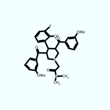 COc1cccc(C(=O)C2CN(CC(=O)N(C)C)CC(C(=O)c3cccc(OC)c3)C2c2cccc(F)c2C)c1